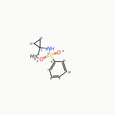 CC1(NS(=O)(=O)c2ccccc2)CC1